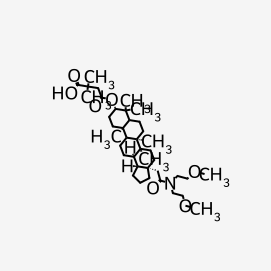 COCCN(CCOC)C(=O)C[C@]12CCC[C@@H]1[C@H]1CCC3[C@@]4(C)CC[C@H](OC(=O)CC(C)(C)C(=O)O)C(C)(C)C4CC[C@@]3(C)[C@]1(C)CC2